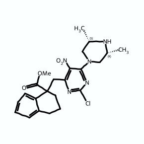 COC(=O)C1(Cc2nc(Cl)nc(N3C[C@@H](C)N[C@@H](C)C3)c2[N+](=O)[O-])CCCc2ccccc21